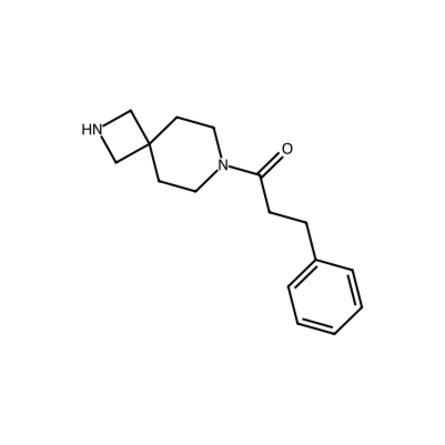 O=C(CCc1ccccc1)N1CCC2(CC1)CNC2